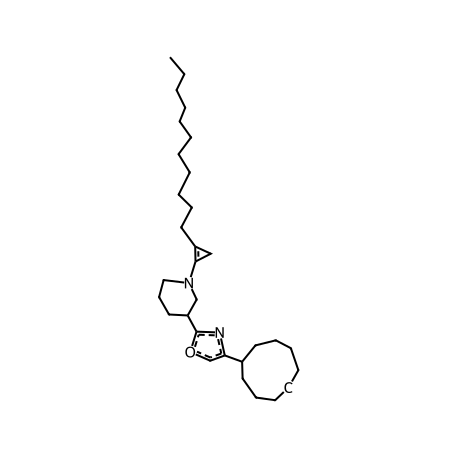 CCCCCCCCCCCC1=C(N2CCCC(c3nc(C4CCCCCCCC4)co3)C2)C1